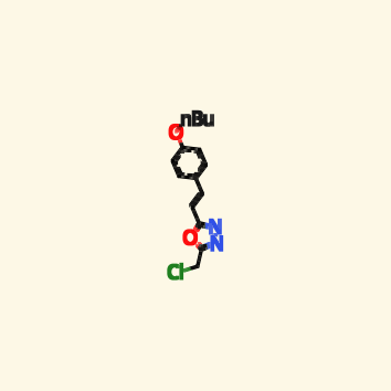 CCCCOc1ccc(C=Cc2nnc(CCl)o2)cc1